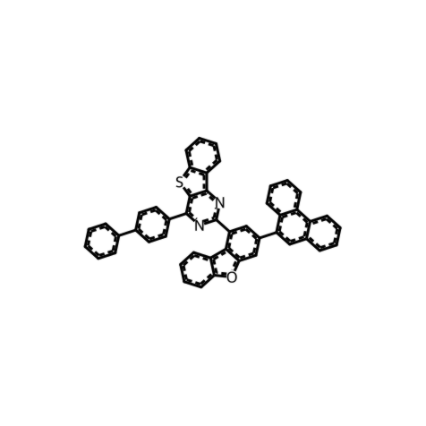 c1ccc(-c2ccc(-c3nc(-c4cc(-c5cc6ccccc6c6ccccc56)cc5oc6ccccc6c45)nc4c3sc3ccccc34)cc2)cc1